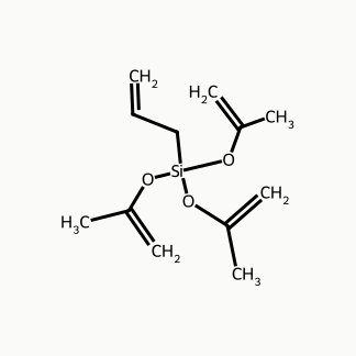 C=CC[Si](OC(=C)C)(OC(=C)C)OC(=C)C